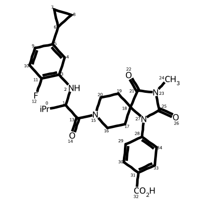 CC(C)C(Nc1cc(C2CC2)ccc1F)C(=O)N1CCC2(CC1)C(=O)N(C)C(=O)N2c1ccc(C(=O)O)cc1